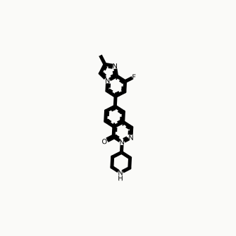 Cc1cn2cc(-c3ccc4c(=O)n(C5CCNCC5)ncc4c3)cc(F)c2n1